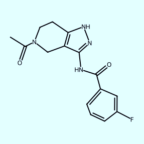 CC(=O)N1CCc2[nH]nc(NC(=O)c3cccc(F)c3)c2C1